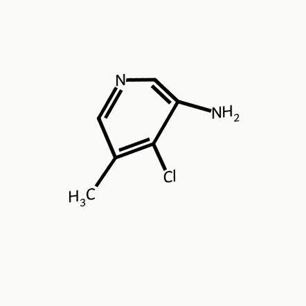 Cc1cncc(N)c1Cl